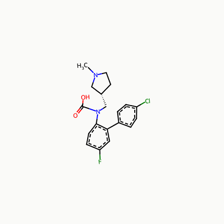 CN1CC[C@H](CN(C(=O)O)c2ccc(F)cc2-c2ccc(Cl)cc2)C1